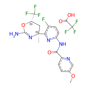 COc1ccc(C(=O)Nc2ccc(F)c([C@]3(C)C[C@@H](C(F)(F)F)OC(N)=N3)n2)nc1.O=C(O)C(F)(F)F